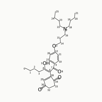 CCCCC(O)=C(C(=O)c1ccc(OCCCN(CCCC)CCCC)cc1)C1=CC(=O)CCC1=O